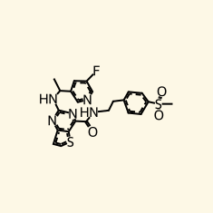 CC(Nc1nc(C(=O)NCCc2ccc(S(C)(=O)=O)cc2)c2sccc2n1)c1cncc(F)c1